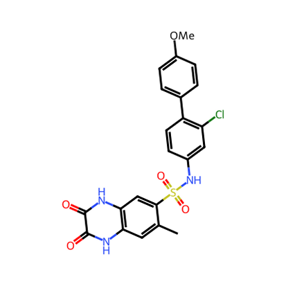 COc1ccc(-c2ccc(NS(=O)(=O)c3cc4[nH]c(=O)c(=O)[nH]c4cc3C)cc2Cl)cc1